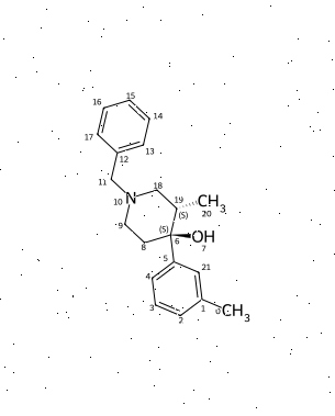 Cc1cccc([C@]2(O)CCN(Cc3ccccc3)C[C@@H]2C)c1